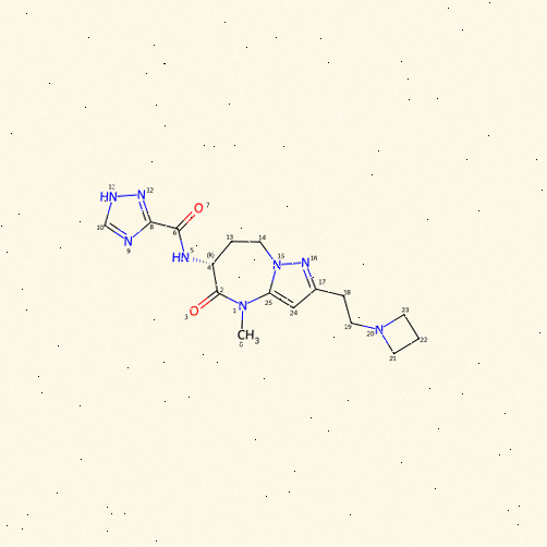 CN1C(=O)[C@H](NC(=O)c2nc[nH]n2)CCn2nc(CCN3CCC3)cc21